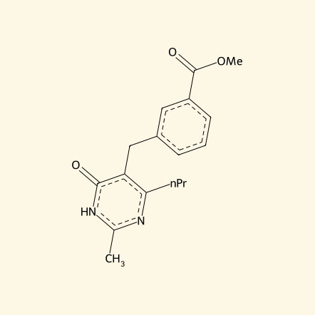 CCCc1nc(C)[nH]c(=O)c1Cc1cccc(C(=O)OC)c1